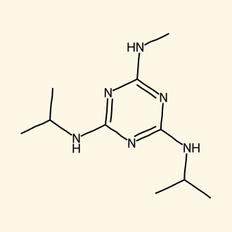 CNc1nc(NC(C)C)nc(NC(C)C)n1